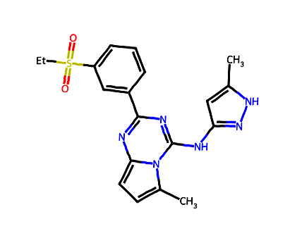 CCS(=O)(=O)c1cccc(-c2nc(Nc3cc(C)[nH]n3)n3c(C)ccc3n2)c1